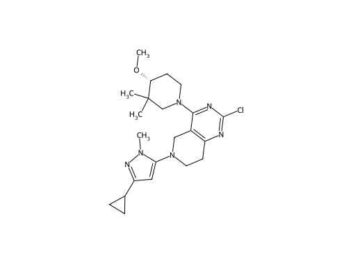 CO[C@@H]1CCN(c2nc(Cl)nc3c2CN(c2cc(C4CC4)nn2C)CC3)CC1(C)C